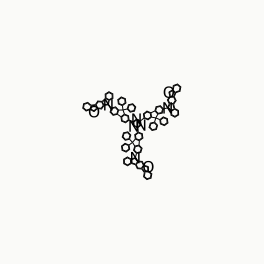 c1ccc(C2(c3ccccc3)c3cc(-c4nc(-c5ccc6c(c5)C(c5ccccc5)(c5ccccc5)c5cc(-n7c8ccccc8c8cc9c(cc87)oc7ccccc79)ccc5-6)nc(-c5ccc6c(c5)C(c5ccccc5)(c5ccccc5)c5cc(-n7c8ccccc8c8cc9c(cc87)oc7ccccc79)ccc5-6)n4)ccc3-c3ccc(-n4c5ccccc5c5cc6c(cc54)oc4ccccc46)cc32)cc1